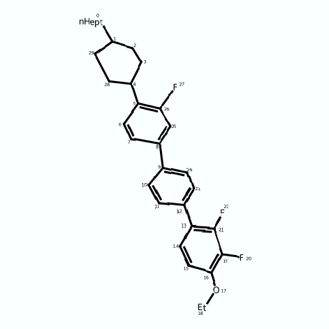 CCCCCCCC1CCC(c2ccc(-c3ccc(-c4ccc(OCC)c(F)c4F)cc3)cc2F)CC1